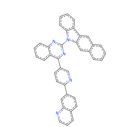 c1ccc2cc3c(cc2c1)c1ccccc1n3-c1nc(-c2ccc(-c3ccc4cccnc4c3)nc2)c2ccccc2n1